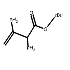 C=C(P)C(P)C(=O)OC(C)(C)C